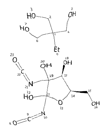 CCC(CO)(CO)CO.O=C=NC1(O)O[C@H](CO)[C@H](O)C1(O)N=C=O